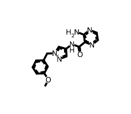 COc1cccc(Cn2cc(NC(=O)c3nccnc3N)cn2)c1